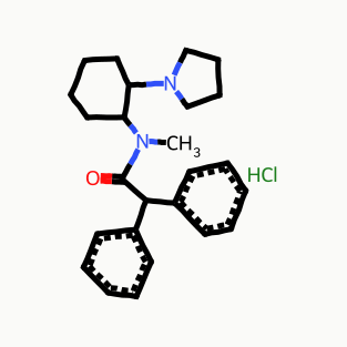 CN(C(=O)C(c1ccccc1)c1ccccc1)C1CCCCC1N1CCCC1.Cl